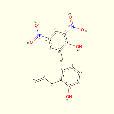 C=CCc1ccccc1O.Cc1cc([N+](=O)[O-])cc([N+](=O)[O-])c1O